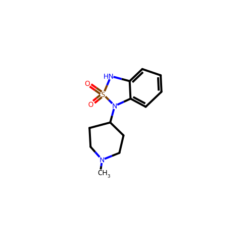 CN1CCC(N2c3ccccc3NS2(=O)=O)CC1